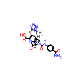 Cn1nnnc1SC1=C(C(=O)O)N2C(=O)[C@@H]3[C@H]2[C@H](C1)CN3C(=O)Nc1ccc(C(N)=O)cc1